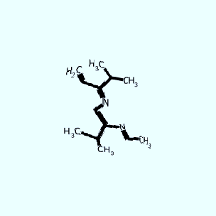 C=C\C(=N/C=C(\N=C\C)C(C)C)C(C)C